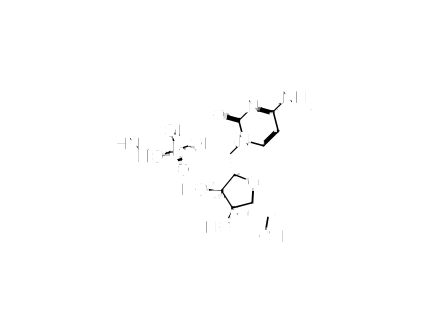 Nc1ccn(C[C@@H]2O[C@H](CO)[C@@H](O)[C@H]2O)c(=O)n1.O=P(O)(O)O.[NaH]